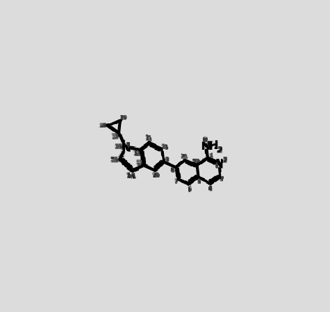 Nc1nccc2ccc(-c3ccc4c(ccn4C4CC4)c3)cc12